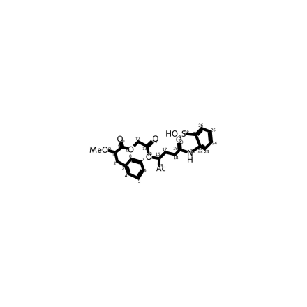 COC(Cc1ccccc1)C(=O)OCC(=O)OC(CCC(=O)Nc1ccccc1S(=O)(=O)O)C(C)=O